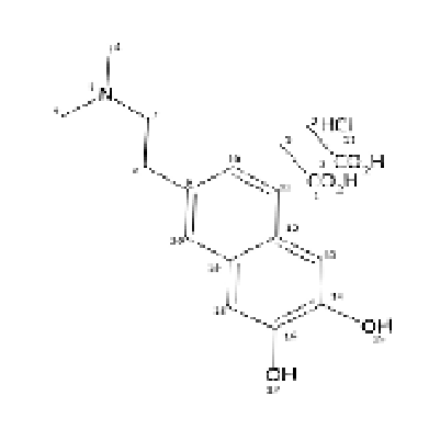 CC(=O)O.CC(=O)O.CN(C)CCc1ccc2cc(O)c(O)cc2c1.Cl